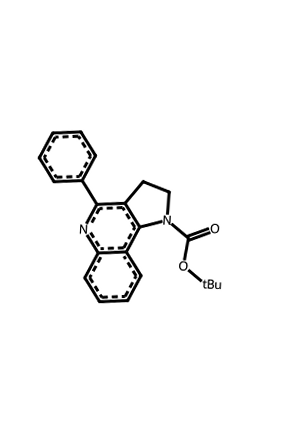 CC(C)(C)OC(=O)N1CCc2c(-c3ccccc3)nc3ccccc3c21